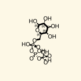 O=P(O)(O)OP(=O)(O)OP(=O)(O)OC[C@H]1O[C@@H](O)[C@H](O)[C@@H](O)[C@H]1O